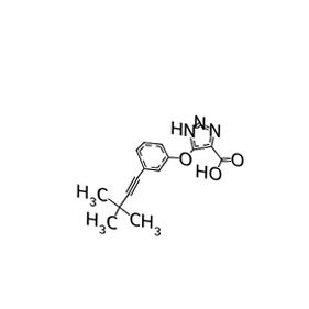 CC(C)(C)C#Cc1cccc(Oc2[nH]nnc2C(=O)O)c1